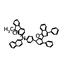 CC1(C)c2ccccc2-c2ccc(N(c3ccc(C4CC=C(c5ccccc5)c5c4oc4c5cc(-c5ccccc5)c5ccccc54)cc3)c3ccc4ccccc4c3)cc21